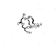 CC(C)CCC(=O)O.CC(C)CCC(=O)O.CC(C)CCC(=O)OCC(O)CO